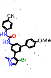 COc1ccc(-c2cc(NC(=O)Nc3ccc(C#N)cc3)cc(-c3c(Br)cnn3C)c2)cc1